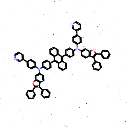 c1ccc(-c2oc3cc(N(c4ccc(-c5cccnc5)cc4)c4ccc(-c5c6ccccc6c(-c6ccc(N(c7ccc(-c8cccnc8)cc7)c7ccc8c(-c9ccccc9)c(-c9ccccc9)oc8c7)cc6)c6ccccc56)cc4)ccc3c2-c2ccccc2)cc1